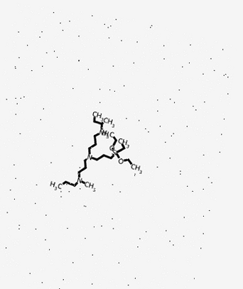 CCCN(C)CCCN(CCCNC(C)CC)CCC[Si](CC)(OCC)OCC